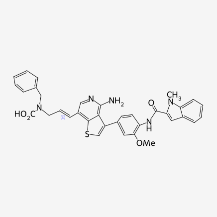 COc1cc(-c2csc3c(/C=C/CN(Cc4ccccc4)C(=O)O)cnc(N)c23)ccc1NC(=O)c1cc2ccccc2n1C